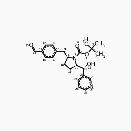 CC(C)(C)OC(=O)N1[C@H](Cc2ccc(C=O)cc2)CC[C@@H]1[C@H](O)c1cccnc1